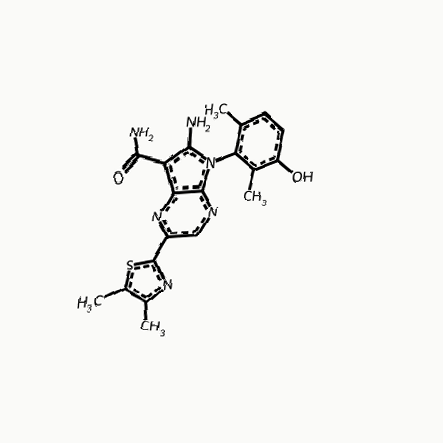 Cc1ccc(O)c(C)c1-n1c(N)c(C(N)=O)c2nc(-c3nc(C)c(C)s3)cnc21